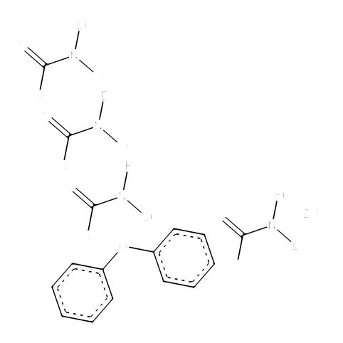 CCN(CC)C(=S)[S-].CCN(CC)C(=S)[S-].CCN(CC)C(=S)[S-].CCN(CC)C(=S)[S-].[Zr+4].c1ccc(Oc2ccccc2)cc1